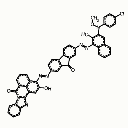 CON(c1ccc(Cl)cc1)c1cc2ccccc2c(N=Nc2ccc3c(c2)C(=O)c2cc(N=Nc4c(O)cc5c6c4cccc6c(=O)n4c6ccccc6nc54)ccc2-3)c1O